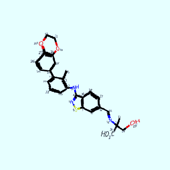 Cc1c(Nc2nsc3cc(C=NC(C)(CO)C(=O)O)ccc23)cccc1-c1ccc2c(c1)OCCO2